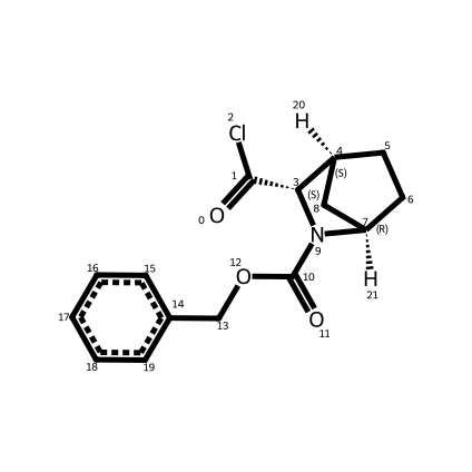 O=C(Cl)[C@@H]1[C@H]2CC[C@H](C2)N1C(=O)OCc1ccccc1